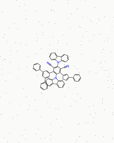 N#Cc1c(C2=CC(c3ccccc3)=CC2)c(-n2c3ccccc3c3ccccc32)c(-c2cc(-c3ccccc3)cc(-c3ccccc3)c2)c(C#N)c1-n1c2ccccc2c2ccccc21